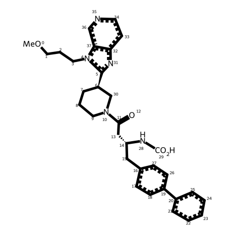 COCCCn1c([C@@H]2CCCN(C(=O)C[C@@H](Cc3ccc(-c4ccccc4)cc3)NC(=O)O)C2)nc2ccncc21